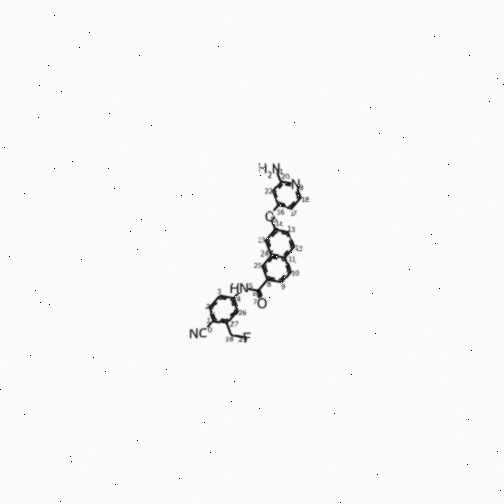 N#Cc1ccc(NC(=O)c2ccc3ccc(Oc4ccnc(N)c4)cc3c2)cc1CF